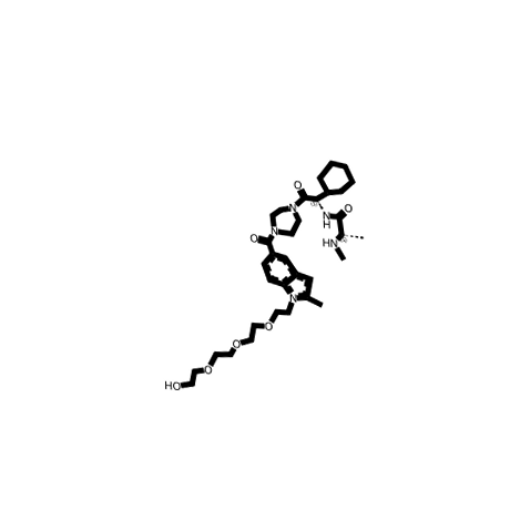 CN[C@@H](C)C(=O)N[C@H](C(=O)N1CCN(C(=O)c2ccc3c(c2)cc(C)n3CCOCCOCCOCCO)CC1)C1CCCCC1